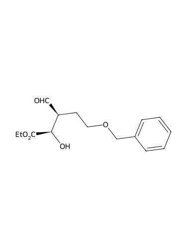 CCOC(=O)[C@H](O)[C@@H](C=O)CCOCc1ccccc1